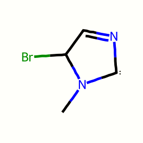 CN1[C]N=CC1Br